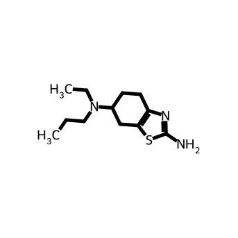 CCCN(CC)C1CCc2nc(N)sc2C1